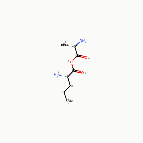 CCCC[C@H](N)C(=O)OC(=O)[C@@H](N)CCSC